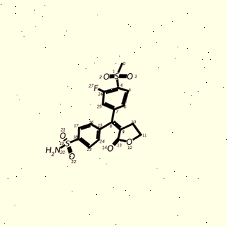 CS(=O)(=O)c1ccc(C(=C2CCOC2=O)c2ccc(S(N)(=O)=O)cc2)cc1F